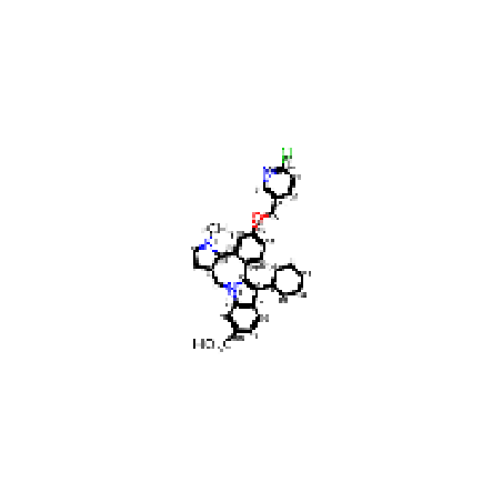 CN1CCC2Cn3c(c(C4CCCCC4)c4ccc(C(=O)O)cc43)-c3ccc(OCc4ccc(Cl)nc4)cc3C21